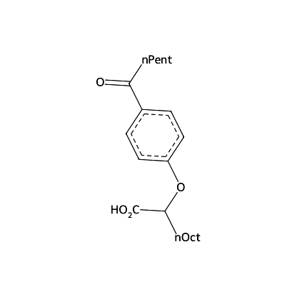 CCCCCCCCC(Oc1ccc(C(=O)CCCCC)cc1)C(=O)O